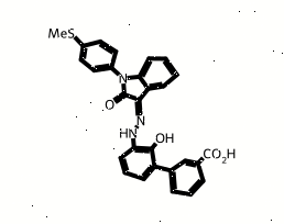 CSc1ccc(N2C(=O)/C(=N\Nc3cccc(-c4cccc(C(=O)O)c4)c3O)c3ccccc32)cc1